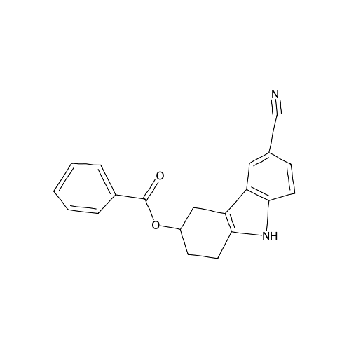 N#Cc1ccc2[nH]c3c(c2c1)CC(OC(=O)c1ccccc1)CC3